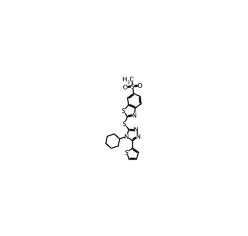 CS(=O)(=O)c1ccc2nc(Sc3nnc(-c4cccs4)n3C3CCCCC3)sc2c1